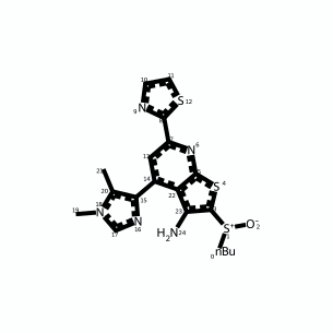 CCCC[S+]([O-])c1sc2nc(-c3nccs3)cc(-c3ncn(C)c3C)c2c1N